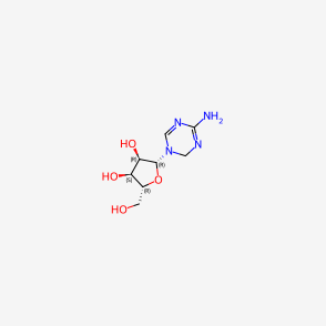 NC1=NCN([C@@H]2O[C@H](CO)[C@@H](O)[C@H]2O)C=N1